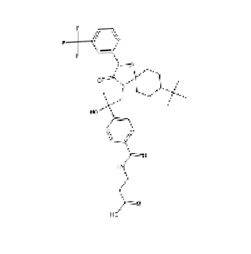 CC(O)(CN1C(=O)C(c2cccc(C(F)(F)F)c2)=NC12CCC(C(C)(C)C)CC2)c1ccc(C(=O)NCCC(=O)O)cc1